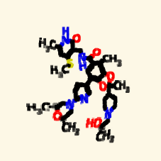 CSc1cc(C)[nH]c(=O)c1CNC(=O)c1cc(-c2ccc(N3C[C@@H](C)O[C@@H](C)C3)nc2)c2c(c1C)OC(C)(C1CCN(C[C@H](C)O)CC1)O2